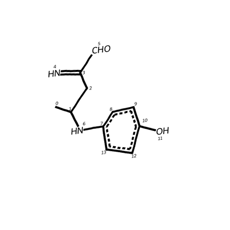 CC(CC(=N)C=O)Nc1ccc(O)cc1